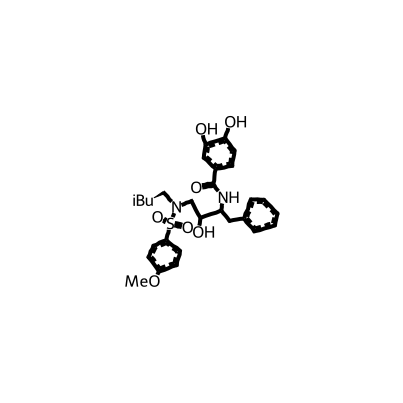 CC[C@H](C)CN(CC(O)C(Cc1ccccc1)NC(=O)c1ccc(O)c(O)c1)S(=O)(=O)c1ccc(OC)cc1